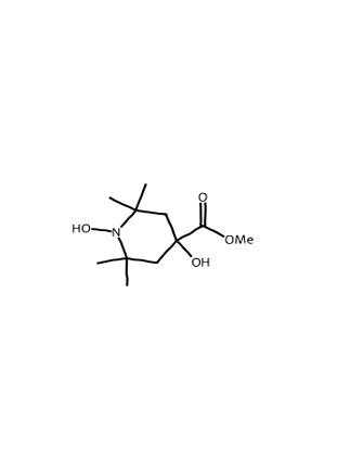 COC(=O)C1(O)CC(C)(C)N(O)C(C)(C)C1